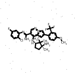 COc1ccc(-c2cc3c(N[C@@H]4CC[C@](C)(N)C4(C)C)c(/C(N)=N/c4cc(F)ccc4Cl)cnn3c2)c(C(F)(F)F)c1